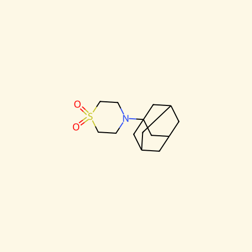 O=S1(=O)CCN(C23CC4CC(CC(C4)C2)C3)CC1